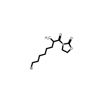 CC(CCCCCCBr)C(=O)N1CCOC1=O